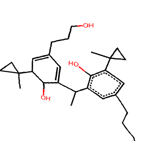 CC(C1=CC(CCCO)=CC(C2(C)CC2)C1O)c1cc(CCCO)cc(C2(C)CC2)c1O